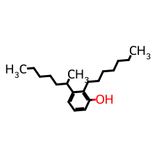 CCCCCCCc1c(O)cccc1C(C)CCCCC